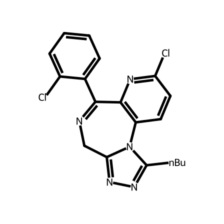 CCCCc1nnc2n1-c1ccc(Cl)nc1C(c1ccccc1Cl)=NC2